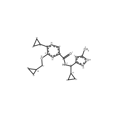 Cc1nc(C(NC(=O)c2cnc(C3CC3)c(OCC3CC3)n2)C2CC2)no1